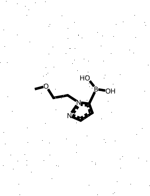 COCCn1nccc1B(O)O